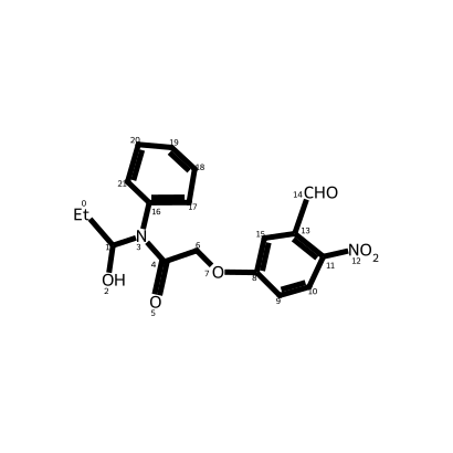 CCC(O)N(C(=O)COc1ccc([N+](=O)[O-])c(C=O)c1)c1ccccc1